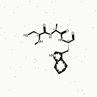 CN[C@@H](CS)C(=O)N[C@@H](C)C(=O)N[C@H](C=O)Cc1c[nH]c2ccccc12